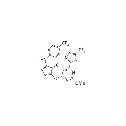 COc1cc(Oc2cnc(Nc3ccc(C(F)(F)F)cc3)n2C)cc(-c2ncc(C(F)(F)F)[nH]2)n1